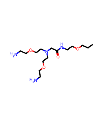 CCCOCCNC(=O)CN(CCOCCN)CCOCCN